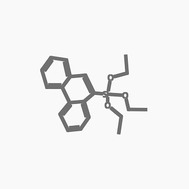 CCO[Si](OCC)(OCC)c1cc2ccccc2c2ccccc12